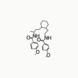 COc1ccc(C(=O)NCCC2CCCCC2CCC(C)NC(=O)c2ccc(OC)cc2)cc1